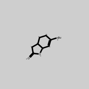 CCCCC1=CC2OC(=O)CC2CC1